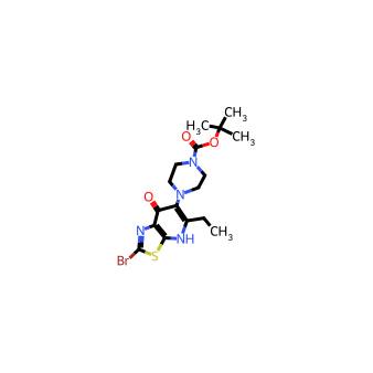 CCc1[nH]c2sc(Br)nc2c(=O)c1N1CCN(C(=O)OC(C)(C)C)CC1